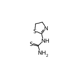 NC(=S)NC1=NCCS1